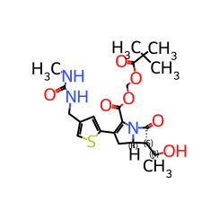 CNC(=O)NCc1csc(C2=C(C(=O)OCOC(=O)C(C)(C)C)N3C(=O)[C@H]([C@@H](C)O)[C@H]3C2)c1